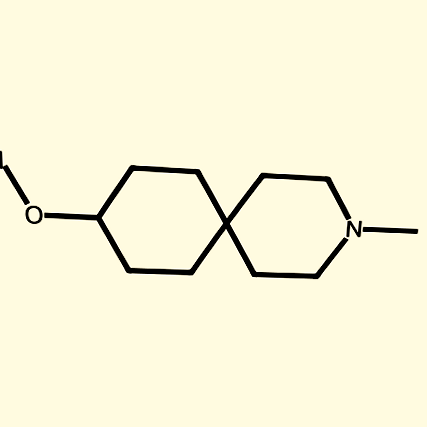 CN1CCC2(CCC(OI)CC2)CC1